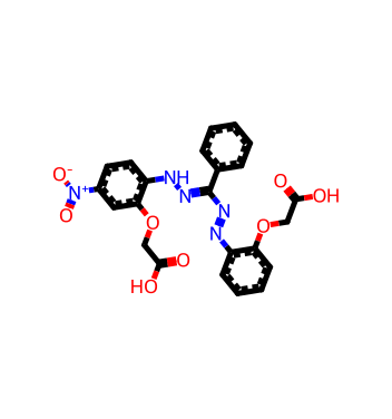 O=C(O)COc1ccccc1N=NC(=NNc1ccc([N+](=O)[O-])cc1OCC(=O)O)c1ccccc1